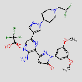 COc1cc(OC)cc(-n2nc(-c3nc(-c4cnn(C5CCN(CC(F)F)CC5)c4)cnc3N)ccc2=O)c1.O=C(O)C(F)(F)F